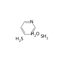 O.S.S.c1ccncc1